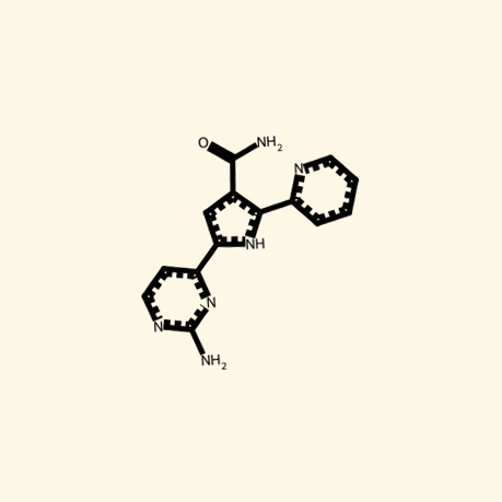 NC(=O)c1cc(-c2ccnc(N)n2)[nH]c1-c1ccccn1